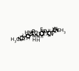 CN1CCN(c2ccc3c(c2)NC(=O)C3NC(=O)Nc2ccc(Oc3ccnc(-c4cnn(C)c4)c3)c(F)c2)CC1